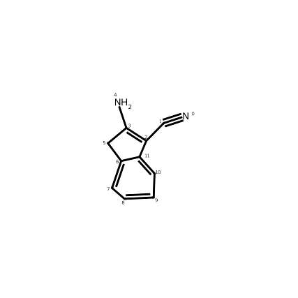 N#CC1=C(N)Cc2ccccc21